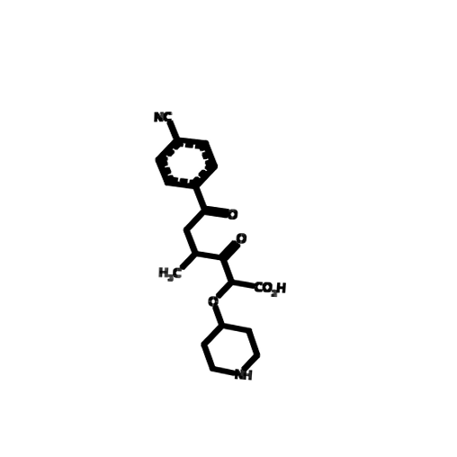 CC(CC(=O)c1ccc(C#N)cc1)C(=O)C(OC1CCNCC1)C(=O)O